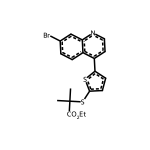 CCOC(=O)C(C)(C)Sc1ccc(-c2ccnc3cc(Br)ccc23)s1